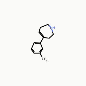 FC(F)(F)c1cccc(C2=CCCNCC2)c1